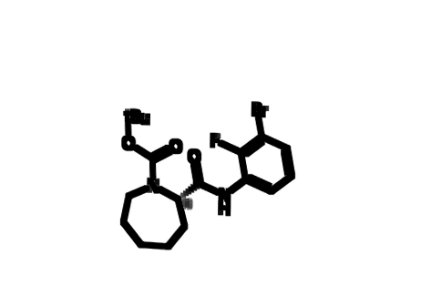 CC(C)(C)OC(=O)N1CCCCC[C@H]1C(=O)Nc1cccc(Br)c1F